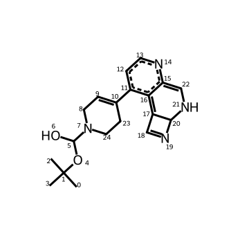 CC(C)(C)OC(O)N1CC=C(c2ccnc3c2=C2C=NC2NC=3)CC1